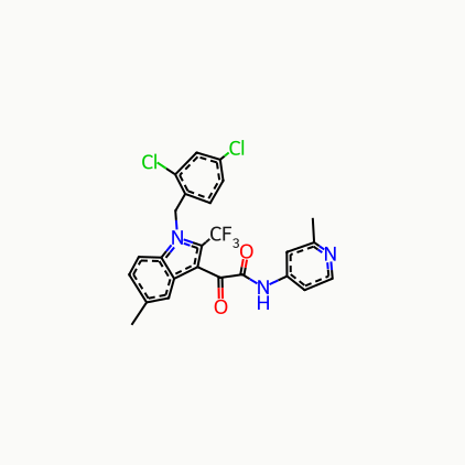 Cc1ccc2c(c1)c(C(=O)C(=O)Nc1ccnc(C)c1)c(C(F)(F)F)n2Cc1ccc(Cl)cc1Cl